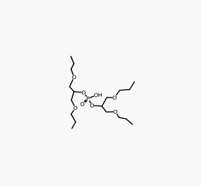 CCCOCC(COCCC)OP(=O)(O)OC(COCCC)COCCC